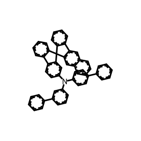 c1ccc(-c2ccc(N(c3cccc(-c4ccccc4)c3)c3ccc4c(c3)C3(c5ccccc5-4)c4ccccc4-c4cc5ccccc5cc43)cc2)cc1